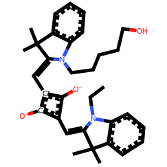 CCN1C(=Cc2c([O-])[c+](C=C3N(CCCCCO)c4ccccc4C3(C)C)[c+]2[O-])C(C)(C)c2ccccc21